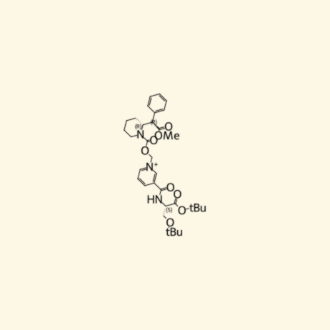 COC(=O)[C@H](c1ccccc1)[C@H]1CCCCN1C(=O)OC[n+]1cccc(C(=O)N[C@@H](COC(C)(C)C)C(=O)OC(C)(C)C)c1